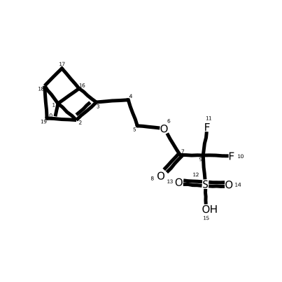 CC12C3=C(CCOC(=O)C(F)(F)S(=O)(=O)O)C1CC2C3